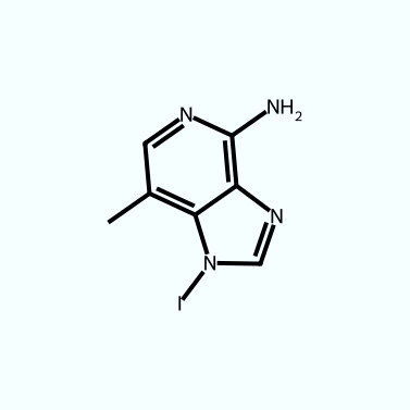 Cc1cnc(N)c2ncn(I)c12